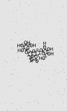 O=C1OC2(c3ccc(OC4O[C@H](CO)[C@@H](O)[C@H](O)[C@H]4O)cc3Oc3cc(OC4O[C@H](CO)[C@@H](O)[C@H](O)[C@H]4O)ccc32)c2ccccc21